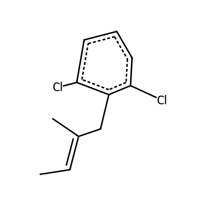 C/C=C(\C)Cc1c(Cl)cccc1Cl